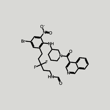 O=CNCCC(F)(F)CCc1cc(Br)cc([N+](=O)[O-])c1NC1CCCN(C(=O)c2cncc3ccccc23)C1